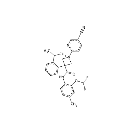 Cc1ccc(NC(=O)C2(c3ccccc3C(C)C)CN(c3ccc(C#N)cn3)C2)c(OC(F)F)n1